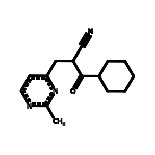 Cc1nccc(CC(C#N)C(=O)C2CCCCC2)n1